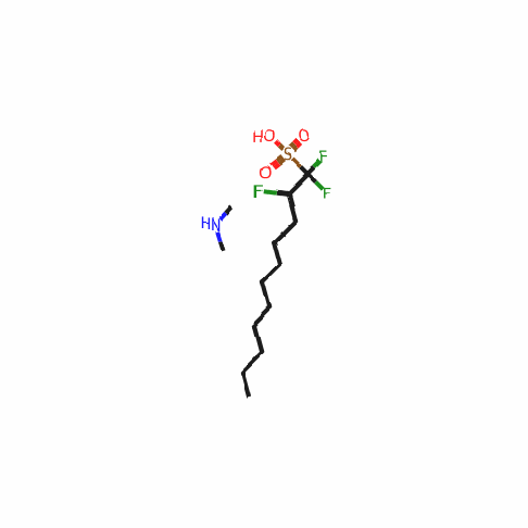 CCCCCCCCCC(F)C(F)(F)S(=O)(=O)O.CNC